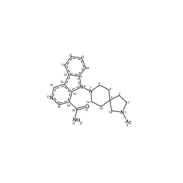 CC(=O)N1CCC2(CCN(n3c4ccccc4c4cncc(C(N)=O)c43)CC2)C1